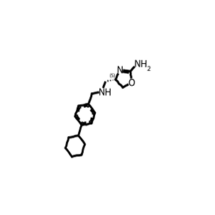 NC1=N[C@@H](CNCc2ccc(C3CCCCC3)cc2)CO1